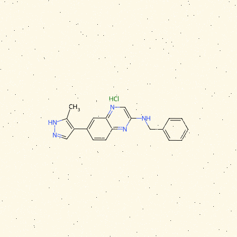 Cc1[nH]ncc1-c1ccc2nc(NCc3ccccc3)cnc2c1.Cl